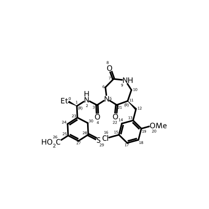 CC[C@@H](NC(=O)N1CC(=O)NC[C@@H](Cc2cc(Cl)ccc2OC)C1=O)C1=CC(C(=O)O)=CC(=S)C1